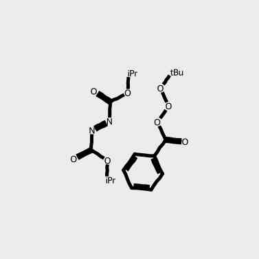 CC(C)(C)OOOC(=O)c1ccccc1.CC(C)OC(=O)N=NC(=O)OC(C)C